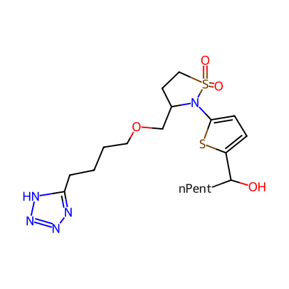 CCCCCC(O)c1ccc(N2C(COCCCCc3nnn[nH]3)CCS2(=O)=O)s1